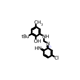 Cc1cc(NC/N=C2/C=C(Cl)C=CC2=N)c(O)c(C(C)(C)C)c1